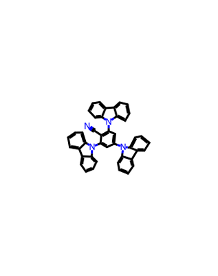 N#Cc1c(-n2c3ccccc3c3ccccc32)cc(-n2c3ccccc3c3ccccc32)cc1-n1c2ccccc2c2ccccc21